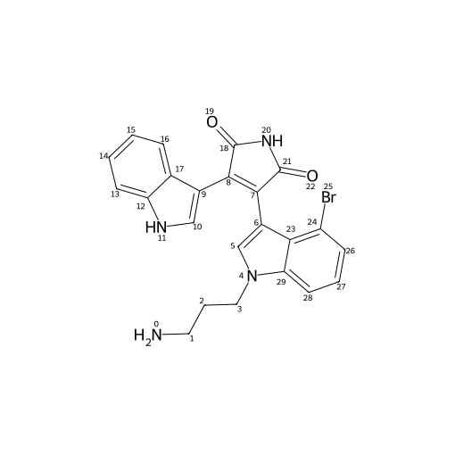 NCCCn1cc(C2=C(c3c[nH]c4ccccc34)C(=O)NC2=O)c2c(Br)cccc21